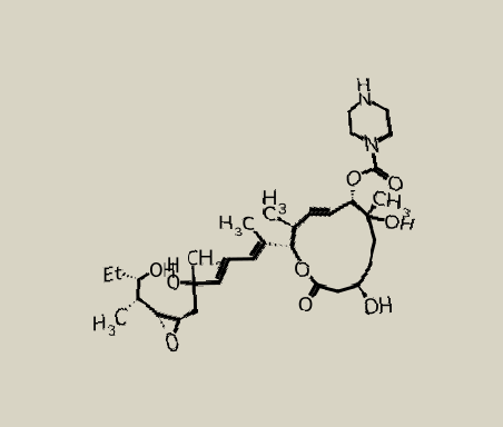 CC[C@H](O)[C@@H](C)[C@H]1O[C@@H]1CC(C)(O)/C=C/C=C(\C)[C@H]1OC(=O)C[C@H](O)CC[C@@](C)(O)[C@@H](OC(=O)N2CCNCC2)/C=C/[C@@H]1C